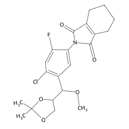 COC(c1cc(N2C(=O)C3=C(CCCC3)C2=O)c(F)cc1Cl)C1COC(C)(C)O1